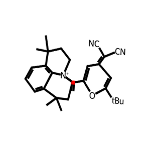 C=C(C1=CC(=C(C#N)C#N)C=C(C(C)(C)C)O1)[N+]12CCC(C)(C)c3cccc(c31)C(C)(C)CC2